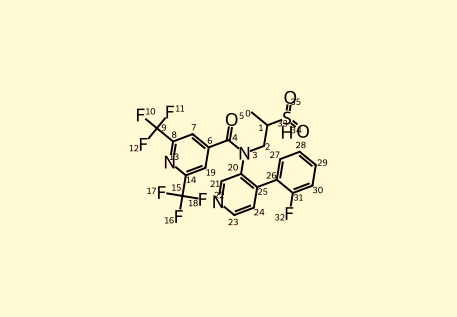 CC(CN(C(=O)c1cc(C(F)(F)F)nc(C(F)(F)F)c1)c1cnccc1-c1ccccc1F)[SH](=O)=O